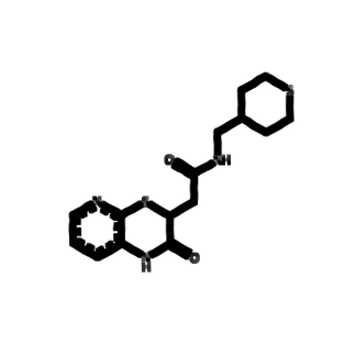 O=C(CC1Sc2ncccc2NC1=O)NCC1CCSCC1